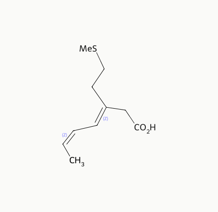 C/C=C\C=C(/CCSC)CC(=O)O